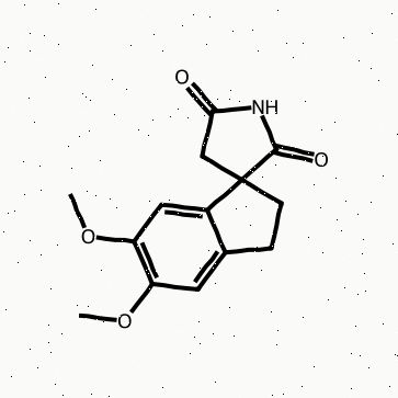 COc1cc2c(cc1OC)C1(CC2)CC(=O)NC1=O